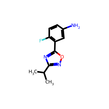 CC(C)c1noc(-c2cc(N)ccc2F)n1